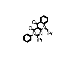 CC(C)Cn1c2ccccc2c(=O)c2c(=O)n(-c3ccccc3)c(C(C)C)nc21